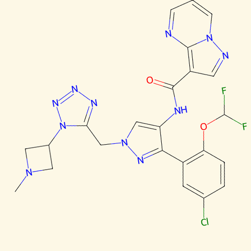 CN1CC(n2nnnc2Cn2cc(NC(=O)c3cnn4cccnc34)c(-c3cc(Cl)ccc3OC(F)F)n2)C1